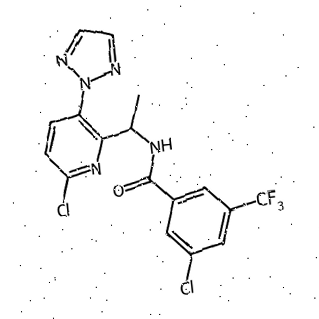 CC(NC(=O)c1cc(Cl)cc(C(F)(F)F)c1)c1nc(Cl)ccc1-n1nccn1